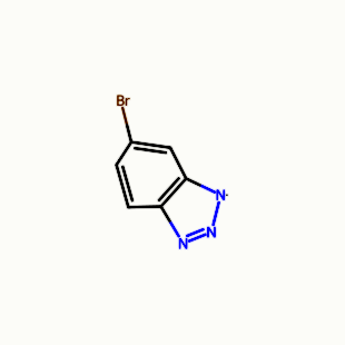 Brc1ccc2c(c1)[N]N=N2